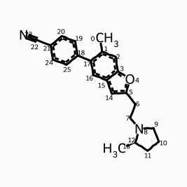 Cc1cc2oc(CCN3CCC[C@H]3C)cc2cc1-c1ccc(C#N)cc1